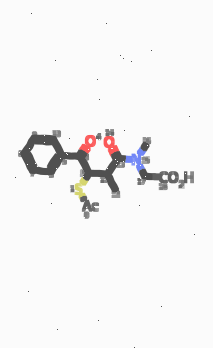 CC(=O)SC(C(=O)c1ccccc1)C(C)C(=O)N(C)CC(=O)O